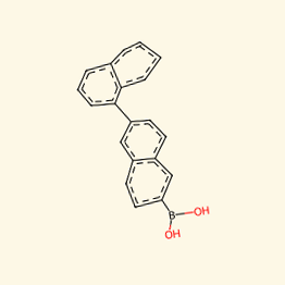 OB(O)c1ccc2cc(-c3cccc4ccccc34)ccc2c1